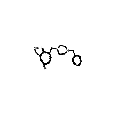 CCCCOc1cc(C(C)C)ccc(CN2CCN(Cc3ccccc3)CC2)c1=O